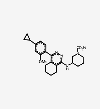 COc1cc(C2CC2)ccc1-c1nnc(N[C@@H]2CCCN(C(=O)O)C2)c2c1CCCC2